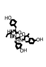 CCC(=O)N[C@@H](Cc1ccc(O)cc1)C(=O)N[C@@H](Cc1ccc(O)cc1)C(=O)N[C@@H](Cc1ccc(O)cc1)C(=O)C(C)C